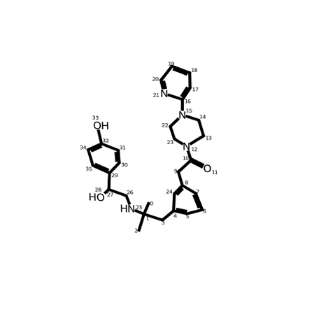 CC(C)(Cc1cccc(CC(=O)N2CCN(c3ccccn3)CC2)c1)NCC(O)c1ccc(O)cc1